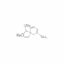 C=CC1(C(OC)OC)C=CC=C([SiH3])C1